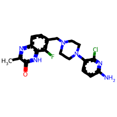 Cc1nc2ccc(CN3CCN(c4ccc(N)nc4Cl)CC3)c(F)c2[nH]c1=O